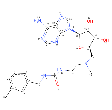 Cc1cccc(CNC(=O)NCCN(C)C[C@H]2O[C@@H](n3cnc4c(N)ncnc43)[C@H](O)[C@@H]2O)c1